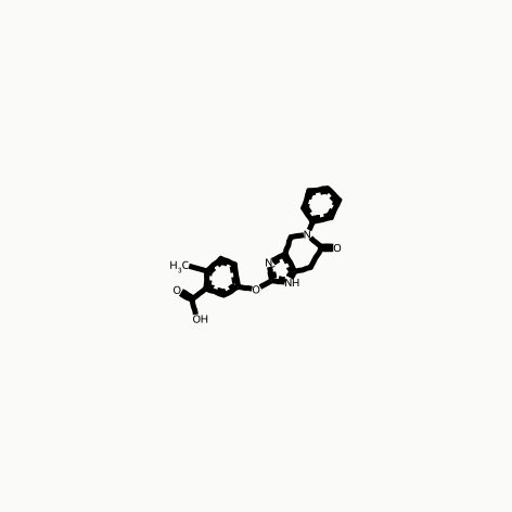 Cc1ccc(Oc2nc3c([nH]2)CC(=O)N(c2ccccc2)C3)cc1C(=O)O